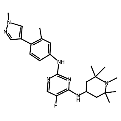 Cc1cc(Nc2ncc(F)c(NC3CC(C)(C)N(C)C(C)(C)C3)n2)ccc1-c1cnn(C)c1